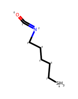 O=C=NCCCCC[SiH3]